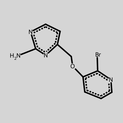 Nc1nccc(COc2cccnc2Br)n1